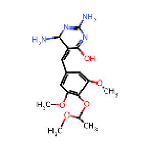 COc1cc(C=C2C(O)=NC(N)=NC2N)cc(OC)c1OC(C)OC